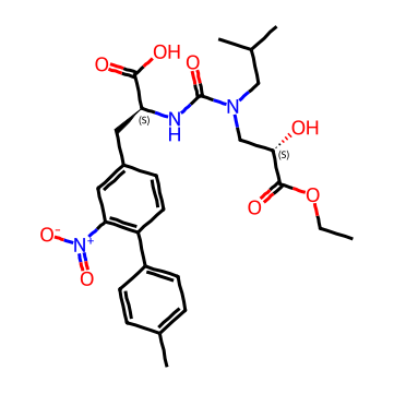 CCOC(=O)[C@@H](O)CN(CC(C)C)C(=O)N[C@@H](Cc1ccc(-c2ccc(C)cc2)c([N+](=O)[O-])c1)C(=O)O